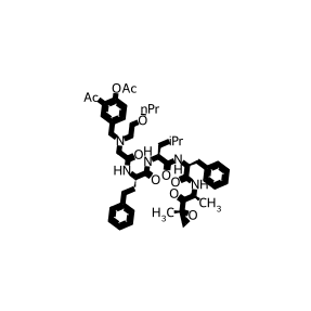 CCCOCCN(CC(=O)N[C@@H](CCc1ccccc1)C(=O)N[C@@H](CC(C)C)C(=O)N[C@@H](Cc1ccccc1)C(=O)N[C@@H](C)C(=O)[C@@]1(C)CO1)Cc1ccc(OC(C)=O)c(C(C)=O)c1